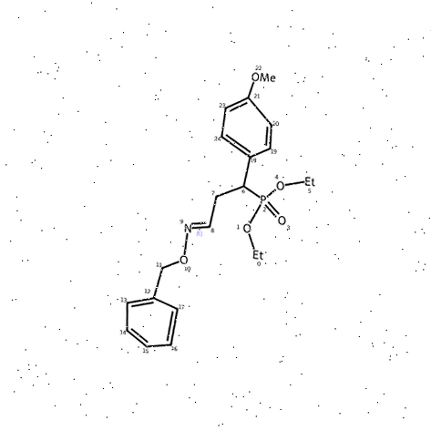 CCOP(=O)(OCC)C(C/C=N/OCc1ccccc1)c1ccc(OC)cc1